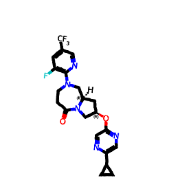 O=C1CCN(c2ncc(C(F)(F)F)cc2F)C[C@H]2C[C@@H](Oc3cnc(C4CC4)cn3)CN12